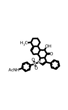 CC(=O)Nc1ccc(S(=O)(=O)N2C=C(c3ccccc3)C3C(=O)C(O)C4C5CCCC(C)C5=CCC4C32)cc1